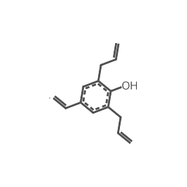 [CH]=Cc1cc(CC=C)c(O)c(CC=C)c1